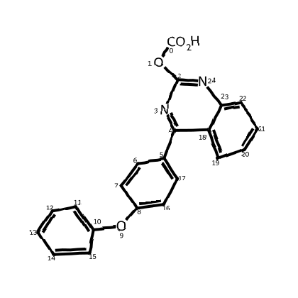 O=C(O)Oc1nc(-c2ccc(Oc3ccccc3)cc2)c2ccccc2n1